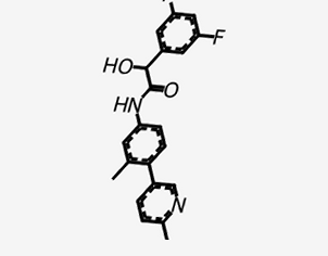 Cc1ccc(-c2ccc(NC(=O)C(O)c3cc(F)cc(F)c3)cc2C)cn1